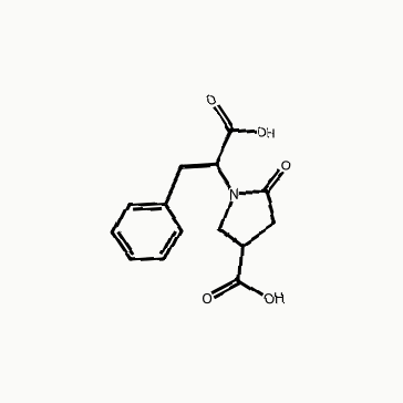 O=C(O)C1CC(=O)N(C(Cc2ccccc2)C(=O)O)C1